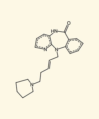 O=C1Nc2cccnc2N(CC=CCCN2CCCCC2)c2ccccc21